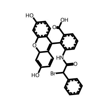 O=C(O)c1cccc(NC(=O)C(Br)c2ccccc2)c1C1=C2C=CC(O)=CC2Oc2cc(O)ccc21